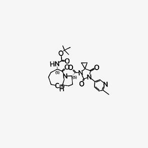 Cc1ccc(N2C(=O)N(C(=O)[C@@H]3CC[C@@H]4CCCC[C@H](NC(=O)OC(C)(C)C)C(=O)N43)C3(CC3)C2=O)cn1